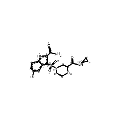 NC(=O)c1[nH]c2ccc(Br)cc2c1S(=O)(=O)N1CCOC(C(=O)NC2CC2)C1